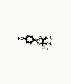 C=C1OB(c2ccc(C#N)cc2)OC1(C)C